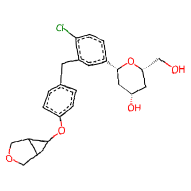 OC[C@@H]1C[C@H](O)C[C@H](c2ccc(Cl)c(Cc3ccc(OC4C5COCC54)cc3)c2)O1